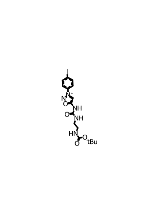 CC(C)(C)OC(=O)NCCNC(=O)Nc1c[n+](-c2ccc(I)cc2)no1